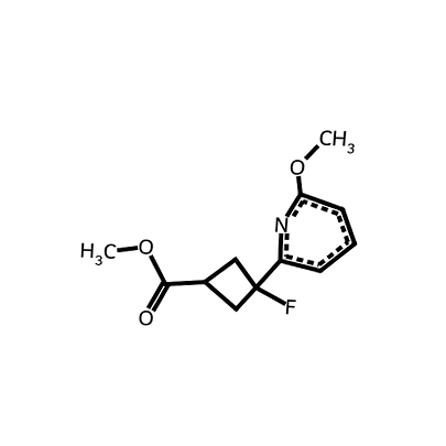 COC(=O)C1CC(F)(c2cccc(OC)n2)C1